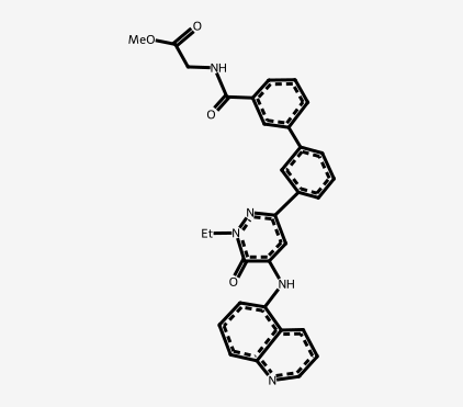 CCn1nc(-c2cccc(-c3cccc(C(=O)NCC(=O)OC)c3)c2)cc(Nc2cccc3ncccc23)c1=O